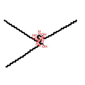 CCCCCCCCCCCCCCCCCCCCCCCCCCC(=O)OC[C@@]1(O[C@H]2O[C@H](CO)[C@@H](O)[C@H](O)[C@H]2O)O[C@H](CO)[C@@H](OC(=O)CCCCCCCCCCCCCCCCCCCCCCCCCC)[C@@H]1OC(=O)CCCCCCCCCCCCCCCCCCCCCCCCCC